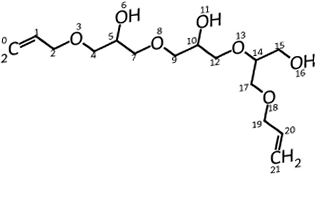 C=CCOCC(O)COCC(O)COC(CO)COCC=C